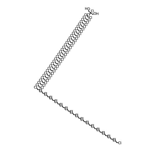 ClCCl.ClCCl.ClCCl.ClCCl.ClCCl.ClCCl.ClCCl.ClCCl.ClCCl.ClCCl.ClCCl.ClCCl.ClCCl.ClCCl.ClCCl.ClCCl.ClCCl.ClCCl.ClCCl.ClCCl.ClCCl.ClCCl.ClCCl.ClCCl.ClCCl.ClCCl.ClCCl.ClCCl.ClCCl.ClCCl.ClCCl.ClCCl.ClCCl.ClCCl.ClCCl.ClCCl.ClCCl.ClCCl.ClCCl.ClCCl.ClCCl.ClCCl.ClCCl.ClCCl.ClCCl.ClCCl.ClCCl.OCC(Cl)(Cl)CO